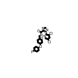 O=C(NCc1ccc(Oc2ccc(F)cc2)cc1)c1ncnn1-c1ncc(Cl)cc1Cl